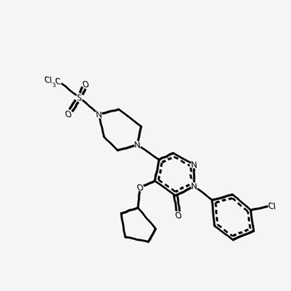 O=c1c(OC2CCCC2)c(N2CCN(S(=O)(=O)C(Cl)(Cl)Cl)CC2)cnn1-c1cccc(Cl)c1